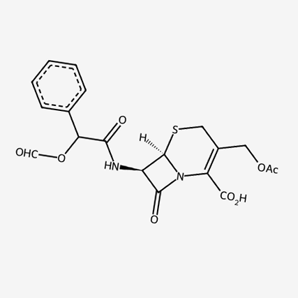 CC(=O)OCC1=C(C(=O)O)N2C(=O)[C@@H](NC(=O)C(OC=O)c3ccccc3)[C@H]2SC1